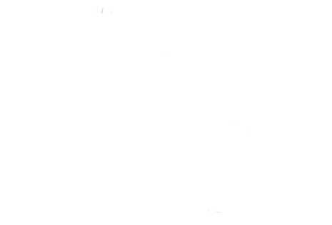 Oc1ccc2c(c1)CCCC(c1ccc(O)cc1C(F)(F)F)C2